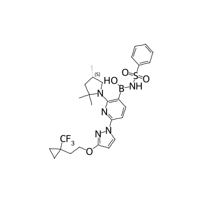 C[C@@H]1CN(c2nc(-n3ccc(OCCC4(C(F)(F)F)CC4)n3)ccc2B(O)NS(=O)(=O)c2ccccc2)C(C)(C)C1